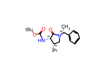 CC(C)[C@H]1CN([C@H](C)c2ccccc2)C(=O)[C@H]1NC(=O)OC(C)(C)C